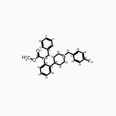 COC(=O)N(Cc1ccccc1)c1ccccc1C1CCN(Cc2ccc(F)cc2)CC1